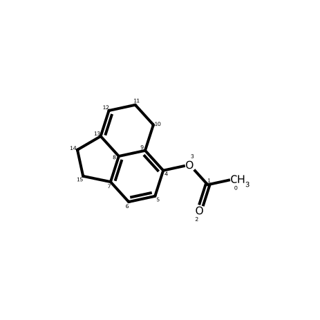 CC(=O)Oc1ccc2c3c1CCC=C3CC2